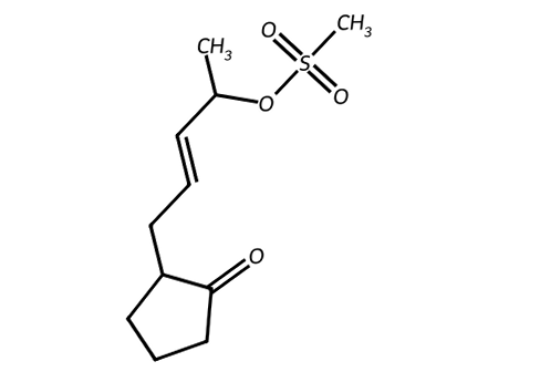 CC(C=CCC1CCCC1=O)OS(C)(=O)=O